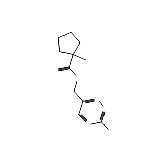 CC1(C(=O)NCc2cnc(Cl)nn2)CCCC1